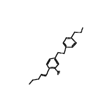 CCC/C=C/c1ccc(CCc2ccc(CCC)cc2)cc1F